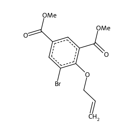 C=CCOc1c(Br)cc(C(=O)OC)cc1C(=O)OC